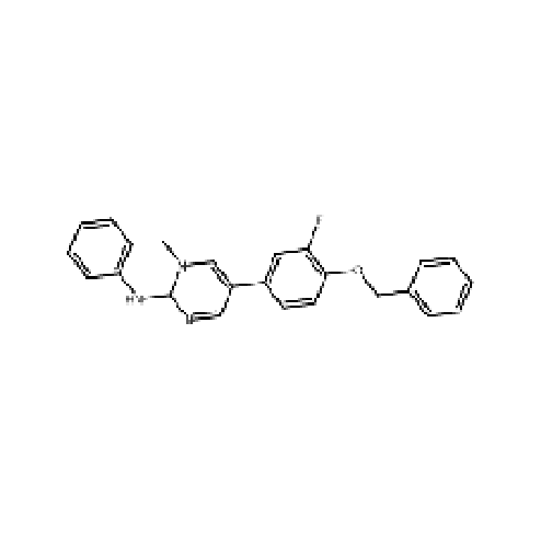 CN1C=C(c2ccc(OCc3ccccc3)c(F)c2)C=NC1Nc1ccccc1